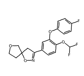 Fc1ccc(Oc2cc(C3=NOC4(CCOC4)C3)ccc2OC(F)F)cc1